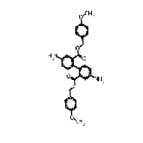 COc1ccc(COC(=O)c2cc(N)ccc2-c2ccc(N)cc2C(=O)OCc2ccc(OC)cc2)cc1